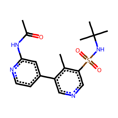 CC(=O)Nc1cc(-c2cncc(S(=O)(=O)NC(C)(C)C)c2C)ccn1